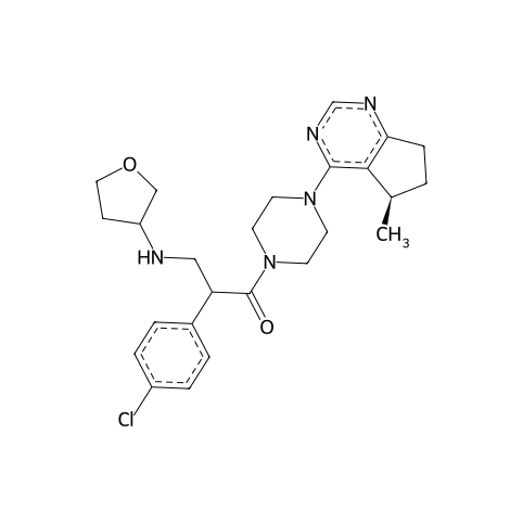 C[C@@H]1CCc2ncnc(N3CCN(C(=O)C(CNC4CCOC4)c4ccc(Cl)cc4)CC3)c21